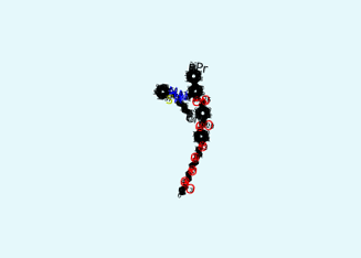 C=CC(=O)OCCOCCOCCOc1ccc(OC(=O)C2CCC(C(=O)Oc3ccc(C4CCC(CCC)CC4)cc3/C=N/N(CCCCC#N)c3nc4ccccc4s3)CC2)cc1